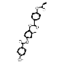 C=CC(=O)Oc1ccc(C(=O)Oc2ccc(OC(=O)c3ccc(O)cc3)cc2C)cc1